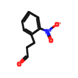 O=CCCc1ccccc1[N+](=O)[O-]